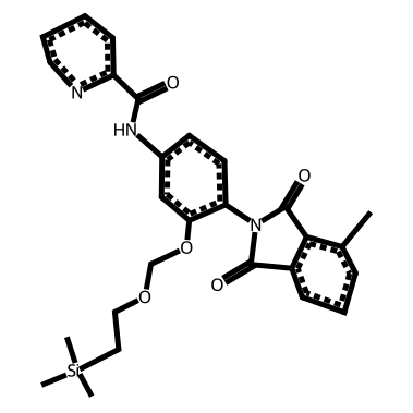 Cc1cccc2c1C(=O)N(c1ccc(NC(=O)c3ccccn3)cc1OCOCC[Si](C)(C)C)C2=O